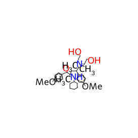 COc1ccc(C(=O)C(C)(CC(c2ccc(OC)cc2)C(C)(C)N(CCO)CCO)NC2CCCCC2)cc1